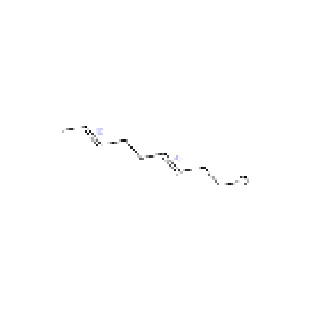 C/C=C/CC/C=C/CC[O]